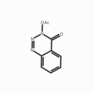 CC(=O)On1nnc2ccccc2c1=O